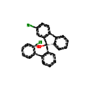 OC1(c2ccccc2-c2ccccc2Cl)c2ccccc2-c2ccc(Br)cc21